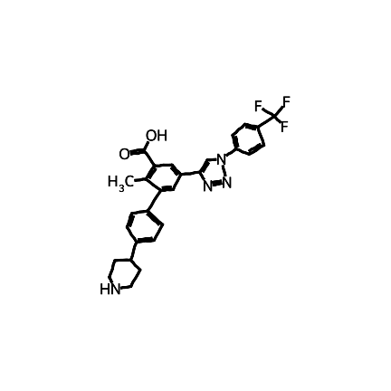 Cc1c(C(=O)O)cc(-c2cn(-c3ccc(C(F)(F)F)cc3)nn2)cc1-c1ccc(C2CCNCC2)cc1